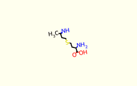 CC(=N)CCSCCC(N)C(=O)O